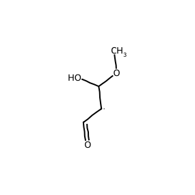 COC(O)[CH]C=O